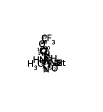 CCC(=O)NC1=CN=CC(C)(NC(C)c2ccc(OCC(F)(F)F)cc2)N1